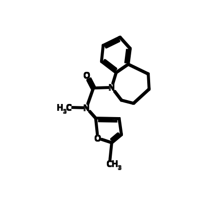 Cc1ccc(N(C)C(=O)N2CCCCc3ccccc32)o1